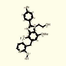 CCOc1ncccc1Cc1cc(OC)c2c(nc(-c3ccc(C(C)C)cc3)n2CCO)c1C(F)(F)F